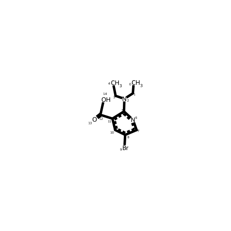 CCN(CC)c1ncc(Br)cc1C(=O)O